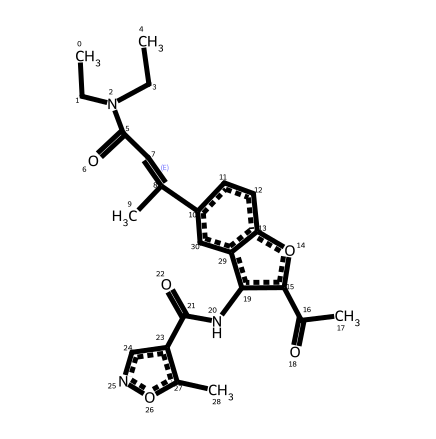 CCN(CC)C(=O)/C=C(\C)c1ccc2oc(C(C)=O)c(NC(=O)c3cnoc3C)c2c1